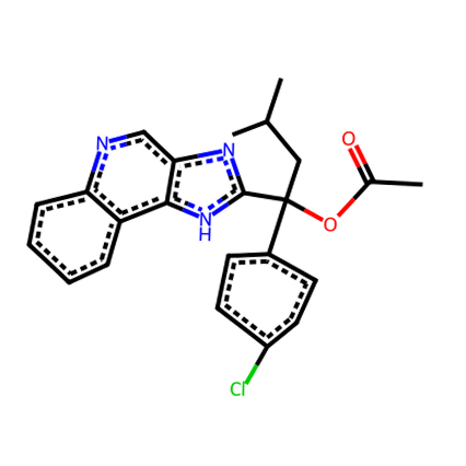 CC(=O)OC(CC(C)C)(c1ccc(Cl)cc1)c1nc2cnc3ccccc3c2[nH]1